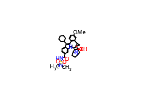 COc1ccc2c(c1)C1CC1(C(=O)N1C3CCC1CC(C)(O)C3)Cn1c-2c(C2CCCCC2)c2ccc(C(=O)NS(=O)(=O)N(C)C)cc21